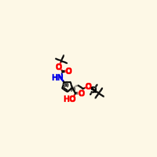 CC(C)(C)OC(=O)N[C@@H]1C=C[C@](CCO[Si](C)(C)C(C)(C)C)(C(=O)O)C1